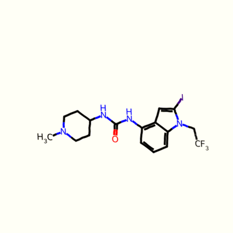 CN1CCC(NC(=O)Nc2cccc3c2cc(I)n3CC(F)(F)F)CC1